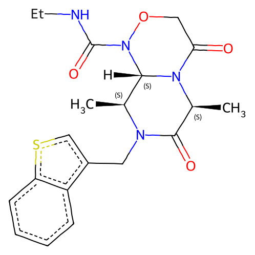 CCNC(=O)N1OCC(=O)N2[C@@H]1[C@H](C)N(Cc1csc3ccccc13)C(=O)[C@@H]2C